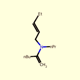 C=C(CCCC)N(CC=CCC)CCC